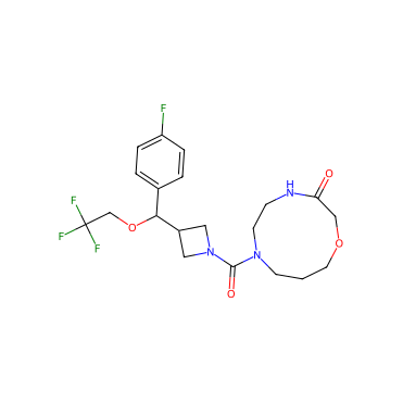 O=C1COCCCN(C(=O)N2CC(C(OCC(F)(F)F)c3ccc(F)cc3)C2)CCN1